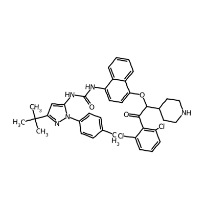 Cc1ccc(-n2nc(C(C)(C)C)cc2NC(=O)Nc2ccc(OC(C(=O)c3c(Cl)cccc3Cl)C3CCNCC3)c3ccccc23)cc1